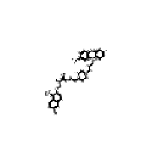 CC(COc1ccc2cc(Br)ccc2c1Br)C(=O)OCCN1CCN(CCCN2c3ccccc3Sc3ccc(C(F)(F)F)cc32)CC1